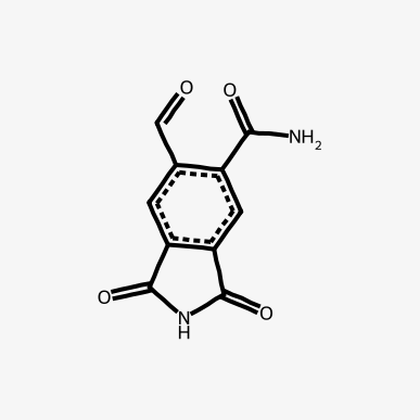 NC(=O)c1cc2c(cc1C=O)C(=O)NC2=O